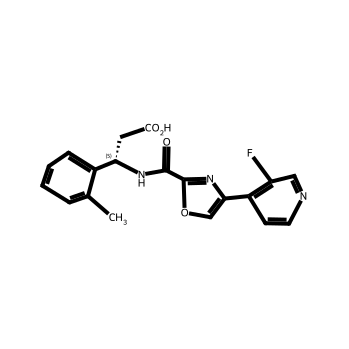 Cc1ccccc1[C@H](CC(=O)O)NC(=O)c1nc(-c2ccncc2F)co1